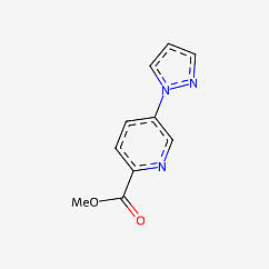 COC(=O)c1ccc(-n2cccn2)cn1